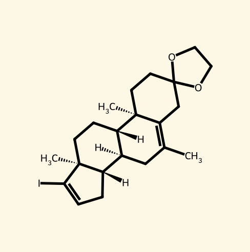 CC1=C2CC3(CC[C@]2(C)[C@H]2CC[C@]4(C)C(I)=CC[C@H]4[C@@H]2C1)OCCO3